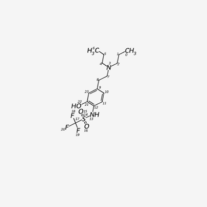 CCCN(CCC)CCc1ccc(NS(=O)(=O)C(F)(F)F)c(O)c1